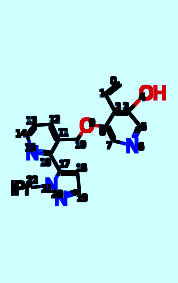 C=Cc1c(O)cncc1OCc1cccnc1-c1ccnn1C(C)C